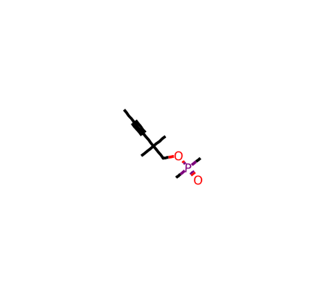 CC#CC(C)(C)COP(C)(C)=O